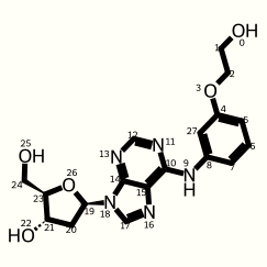 OCCOc1cccc(Nc2ncnc3c2ncn3[C@H]2C[C@H](O)[C@@H](CO)O2)c1